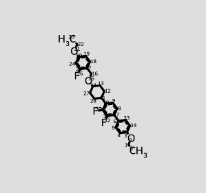 CCOc1ccc(-c2ccc(C3CCC(OCc4ccc(OCC)cc4F)CC3)c(F)c2F)cc1